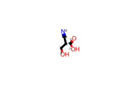 N#CCCO.O=CO